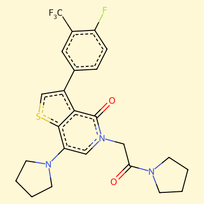 O=C(Cn1cc(N2CCCC2)c2scc(-c3ccc(F)c(C(F)(F)F)c3)c2c1=O)N1CCCC1